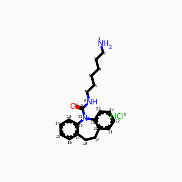 Cl.NCCCCCCNC(=O)N1c2ccccc2CCc2ccccc21